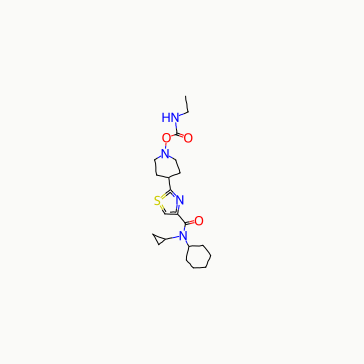 CCNC(=O)ON1CCC(c2nc(C(=O)N(C3CCCCC3)C3CC3)cs2)CC1